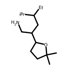 CCC(CC(CN)C1CCC(C)(C)O1)C(C)C